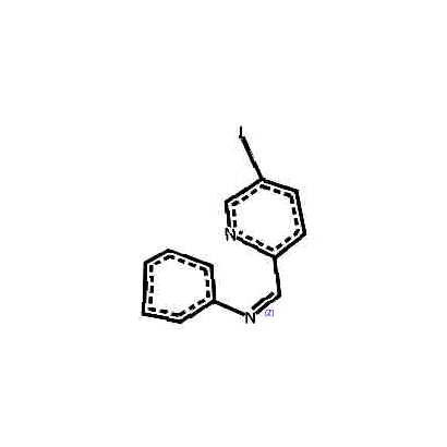 Ic1ccc(/C=N\c2ccccc2)nc1